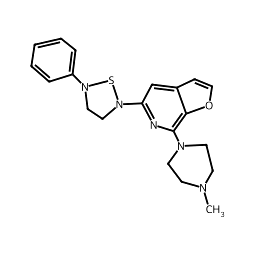 CN1CCN(c2nc(N3CCN(c4ccccc4)S3)cc3ccoc23)CC1